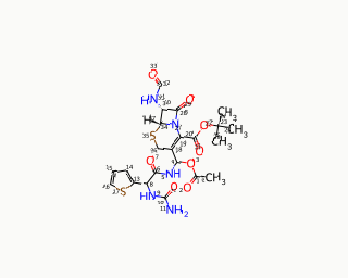 CC(=O)OC(NC(=O)C(NC(N)=O)c1cccs1)C1=C(C(=O)OC(C)(C)C)N2C(=O)[C@@H](NC=O)[C@H]2SC1